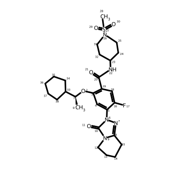 C[C@H](Oc1cc(-n2nc3n(c2=O)CCCC3)c(F)cc1C(=O)NC1CCN(S(C)(=O)=O)CC1)C1CCCCC1